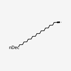 [C]#CCCCCCCCCCCCCCCCCCCCCCCCCCCC